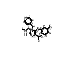 CNC[N+]1(Cc2ccncc2)C=NC(C(C)C)=C1Sc1cccc(F)c1